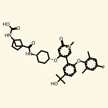 Cc1cc(F)cc(C)c1Oc1ccc(C(C)(C)O)cc1-c1cn(C)c(=O)cc1O[C@H]1CC[C@H](NC(=O)C23CCC(NC(=O)O)(C2)C3)CC1